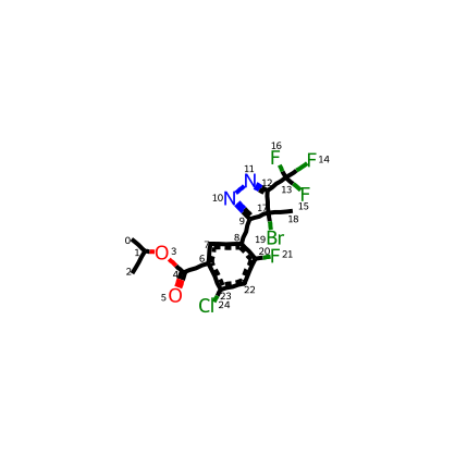 CC(C)OC(=O)c1cc(C2=NN=C(C(F)(F)F)C2(C)Br)c(F)cc1Cl